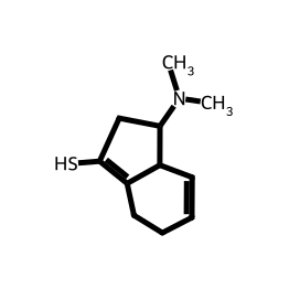 CN(C)C1CC(S)=C2CCC=CC21